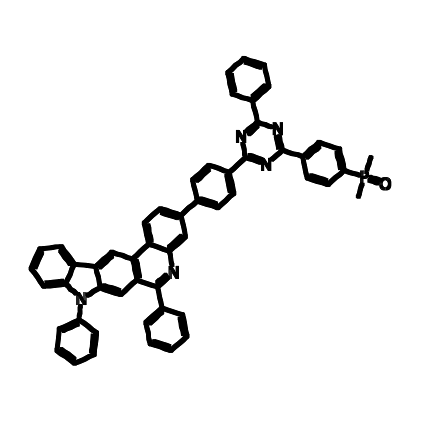 CP(C)(=O)c1ccc(-c2nc(-c3ccccc3)nc(-c3ccc(-c4ccc5c(c4)nc(-c4ccccc4)c4cc6c(cc45)c4ccccc4n6-c4ccccc4)cc3)n2)cc1